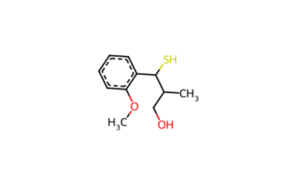 COc1ccccc1C(S)C(C)CO